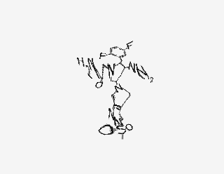 CS(=O)(=O)n1cc2c(n1)CN([C@@H]1C[C@H](N)C(c3cc(F)ccc3F)N(CC(N)=O)C1)C2